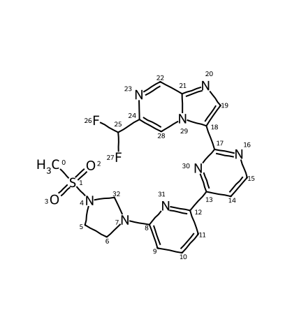 CS(=O)(=O)N1CCN(c2cccc(-c3ccnc(-c4cnc5cnc(C(F)F)cn45)n3)n2)C1